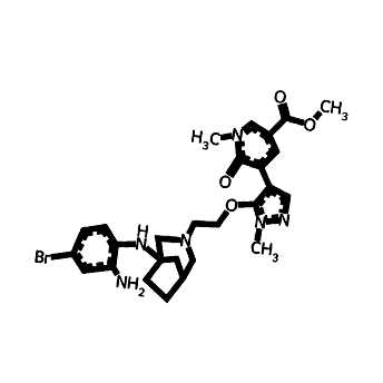 COC(=O)c1cc(-c2cnn(C)c2OCCN2CC3CCC(Nc4ccc(Br)cc4N)(C3)C2)c(=O)n(C)c1